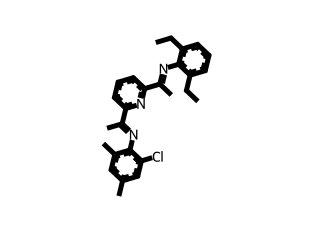 CCc1cccc(CC)c1N=C(C)c1cccc(C(C)=Nc2c(C)cc(C)cc2Cl)n1